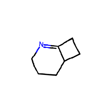 C1CN=C2CCC2C1